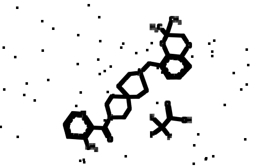 CC1(C)COc2cccc(CN3CCC4(CC3)CCN(C(=O)c3ncccc3N)CC4)c2O1.O=C(O)C(F)(F)F